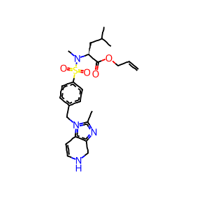 C=CCOC(=O)[C@H](CC(C)C)N(C)S(=O)(=O)c1ccc(Cn2c(C)nc3c2C=CNC3)cc1